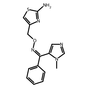 Cn1cncc1C(=NOCc1csc(N)n1)c1ccccc1